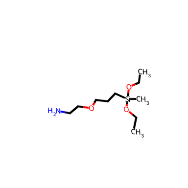 CCO[Si](C)(CCCOCCN)OCC